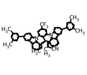 C=C/C=C(\C=C(/C)C#N)c1c(-n2c3ccccc3c3cc(-c4cc(C)cc(C)c4)ccc32)cc(C(F)(F)F)cc1-n1c2ccccc2c2cc(-c3cc(C)cc(C)c3)ccc21